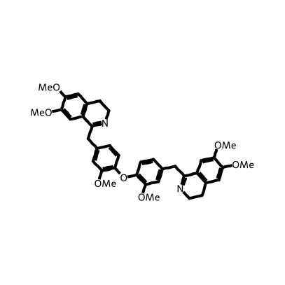 COc1cc2c(cc1OC)C(Cc1ccc(Oc3ccc(CC4=NCCc5cc(OC)c(OC)cc54)cc3OC)c(OC)c1)=NCC2